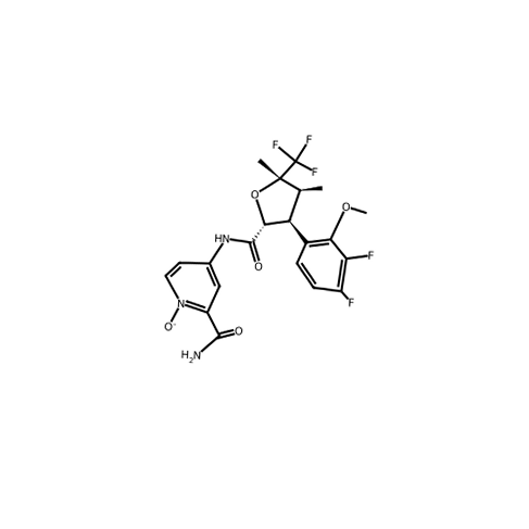 COc1c([C@H]2[C@H](C(=O)Nc3cc[n+]([O-])c(C(N)=O)c3)O[C@](C)(C(F)(F)F)[C@H]2C)ccc(F)c1F